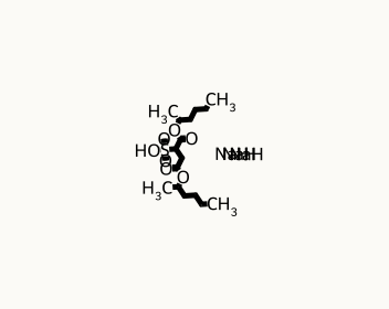 CCCCC(C)OC(=O)CC(C(=O)OC(C)CCCC)S(=O)(=O)O.[NaH].[NaH].[NaH]